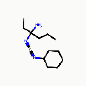 CCCC(N)(CC)N=C=NC1CCCCC1